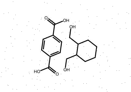 O=C(O)c1ccc(C(=O)O)cc1.OCC1CCCCC1CO